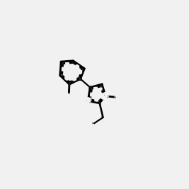 Cn1cc(-c2ccccc2Cl)nc1CCl